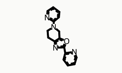 c1ccc(-c2nc3c(o2)CN(c2ccccn2)CC3)nc1